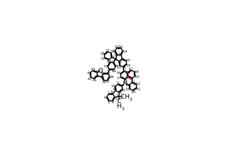 CC1(C)c2ccccc2-c2ccc(N(c3ccc(-c4ccc5c(c4)C(c4ccccc4)(c4ccc(-c6cccc7c6oc6ccccc67)cc4)c4ccccc4-5)cc3)c3ccccc3-c3ccccc3)cc21